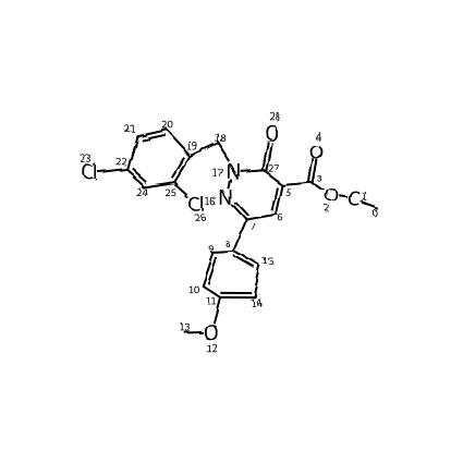 CCOC(=O)c1cc(-c2ccc(OC)cc2)nn(Cc2ccc(Cl)cc2Cl)c1=O